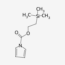 C[Si](C)(C)CCOC(=O)n1cccc1